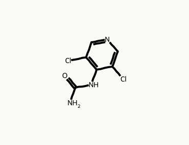 NC(=O)Nc1c(Cl)cncc1Cl